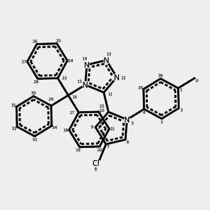 Cc1ccc(-n2cc(Cl)cc2-c2nnnn2C(c2ccccc2)(c2ccccc2)c2ccccc2)cc1